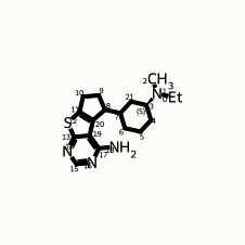 CCN(C)[C@H]1CCCC(C2CCc3sc4ncnc(N)c4c32)C1